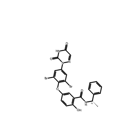 C[C@H](NC(=O)c1cc(Oc2c(Br)cc(-n3ncc(=O)[nH]c3=O)cc2Br)ccc1O)c1ccccc1